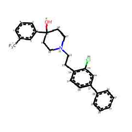 OC1(c2cccc(C(F)(F)F)c2)CCN(CCc2ccc(-c3ccccc3)cc2Cl)CC1